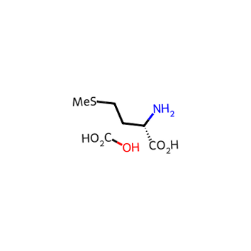 CSCC[C@H](N)C(=O)O.O=C(O)O